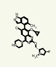 Cc1ccc2[nH]ncc2c1-c1c(Cl)cc2c(N3CCNCC3)nc(OC[C@@H]3C[C@@H](F)CN3C)nc2c1OC1CC1